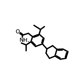 CC(C)c1cc(C2CCc3ccccc3C2)cc(C(C)C)c1CC(N)=O